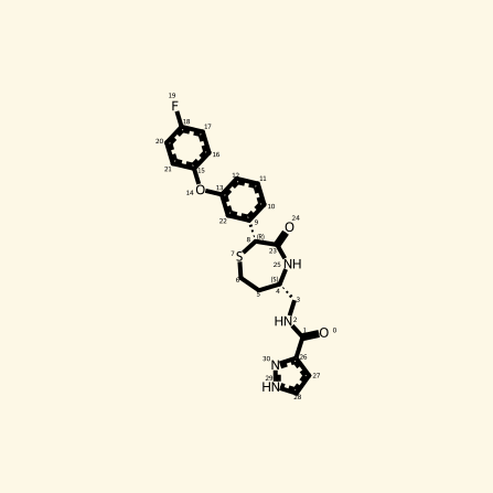 O=C(NC[C@@H]1CCS[C@H](c2cccc(Oc3ccc(F)cc3)c2)C(=O)N1)c1cc[nH]n1